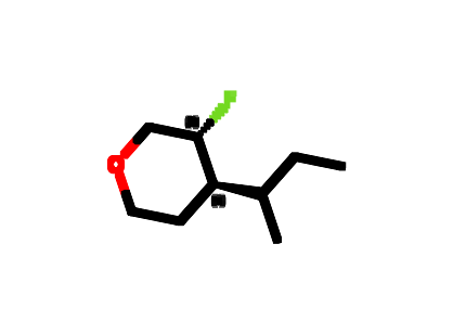 CCC(C)[C@H]1CCOC[C@@H]1F